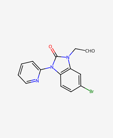 O=CCn1c(=O)n(-c2ccccn2)c2ccc(Br)cc21